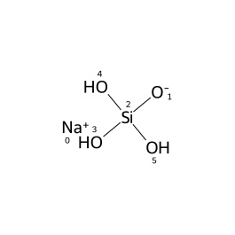 [Na+].[O-][Si](O)(O)O